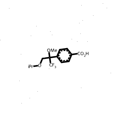 COC(COC(C)C)(c1ccc(C(=O)O)cc1)C(F)(F)F